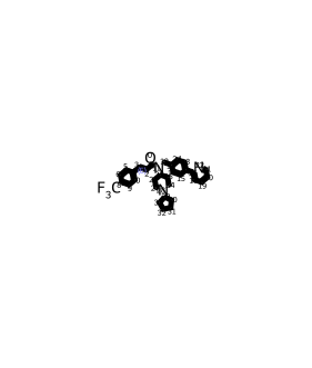 O=C(/C=C/c1ccc(C(F)(F)F)cc1)N(Cc1ccc(-c2ccccn2)cc1)C1CCN(C2CCCC2)CC1